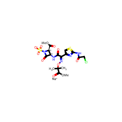 COC(=O)[C@H]1[C@@H](NC(=O)/C(=N\OC(C)(C)C(=O)OC)c2csc(NC(=O)CCl)n2)C(=O)N1S(=O)(=O)[O-].[Na+]